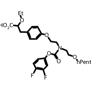 CCCCCOCCN(CCOc1ccc(CC(OCC)C(=O)O)cc1)C(=O)Oc1ccc(F)c(F)c1